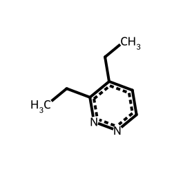 CCc1ccnnc1CC